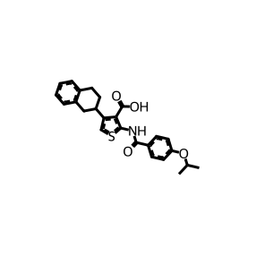 CC(C)Oc1ccc(C(=O)Nc2scc(C3CCc4ccccc4C3)c2C(=O)O)cc1